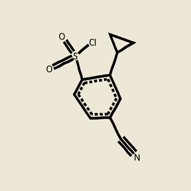 N#Cc1ccc(S(=O)(=O)Cl)c(C2CC2)c1